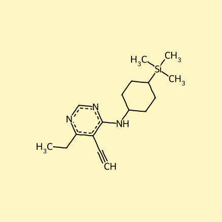 C#Cc1c(CC)ncnc1NC1CCC([Si](C)(C)C)CC1